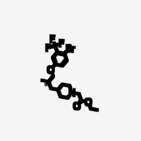 CCOC(=O)CN1CCC(C[C@@H](C)COc2ccc(Br)c(C(F)(F)F)c2)CC1